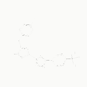 Cc1cc(-c2nc(-c3ccc(C(C)(C)F)cc3)no2)nn1Cc1ccc(Cl)cc1